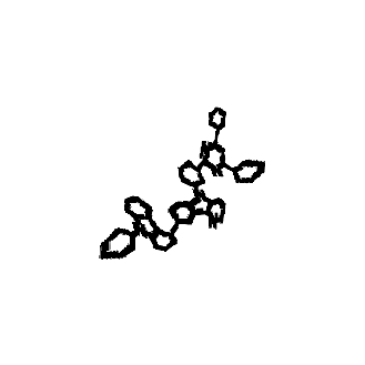 c1ccc(-c2cc(-c3ccccc3)nc(-c3cccc(-n4c5ccc(-c6cccc7c6c6ccccc6n7-c6ccccc6)cc5c5ncccc54)c3)n2)cc1